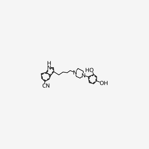 N#Cc1ccc2[nH]cc(CCCCN3CCN(c4ccc(O)cc4O)CC3)c2c1